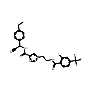 CCc1ccc(C(C#N)NC(=O)c2cn(CCNC(=O)c3ccc(C(F)(F)F)cc3F)nn2)cc1